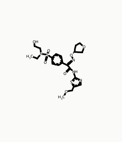 CCN(CCO)S(=O)(=O)c1ccc(/C(=N\O[C@@H]2CCOC2)C(=O)Nc2ncc(COC)s2)cc1